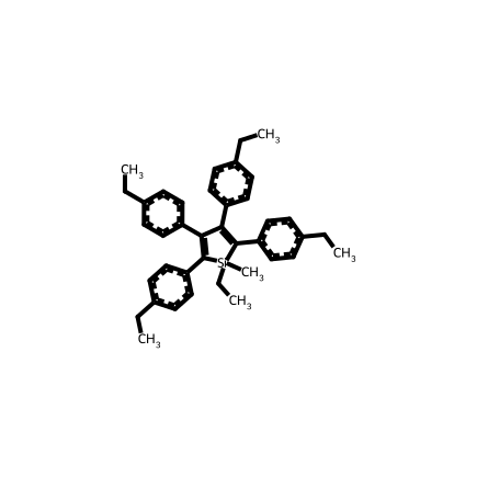 CCc1ccc(C2=C(c3ccc(CC)cc3)[Si](C)(CC)C(c3ccc(CC)cc3)=C2c2ccc(CC)cc2)cc1